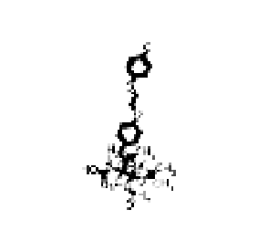 CC(C)(C)OC(O[PH2]=O)(OC(C)(C)C)C(C)(CCc1ccc(OCCOc2ccc(Cl)cc2)cc1)NC(=O)O